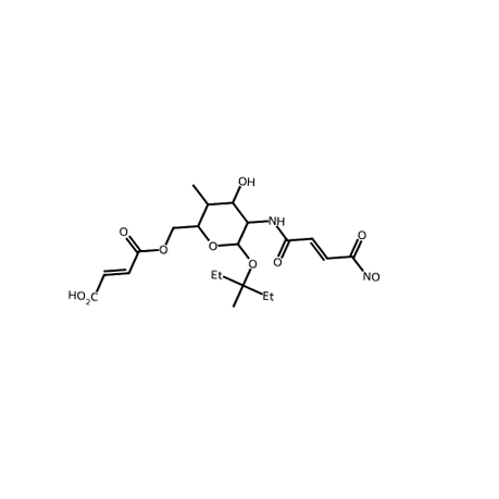 CCC(C)(CC)OC1OC(COC(=O)/C=C/C(=O)O)C(C)C(O)C1NC(=O)/C=C/C(=O)N=O